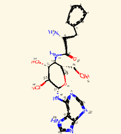 N[C@H](Cc1ccccc1)C(=O)N[C@@H]1[C@@H](O)[C@H](O)[C@@H](Nc2ncnc3nc[nH]c23)O[C@H]1CO